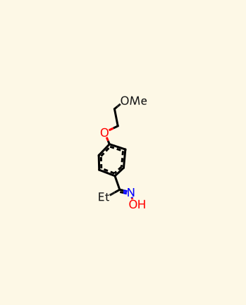 CCC(=NO)c1ccc(OCCOC)cc1